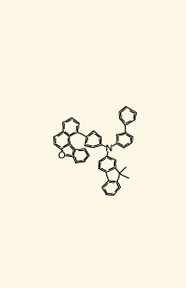 CC1(C)c2ccccc2-c2ccc(N(c3ccc(-c4cccc5ccc6oc7ccccc7c6c45)cc3)c3cccc(-c4ccccc4)c3)cc21